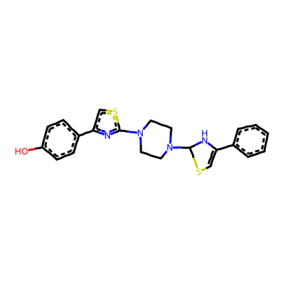 Oc1ccc(-c2csc(N3CCN(C4NC(c5ccccc5)=CS4)CC3)n2)cc1